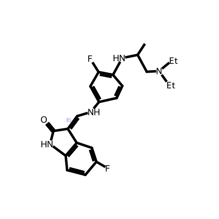 CCN(CC)CC(C)Nc1ccc(N/C=C2/C(=O)Nc3ccc(F)cc32)cc1F